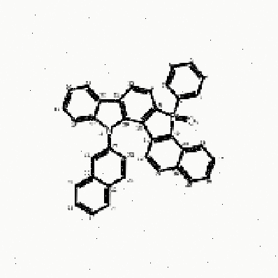 O=P1(c2ccccc2)c2ccc3c4ccccc4n(-c4ccc5ccccc5c4)c3c2-c2ccc3ccccc3c21